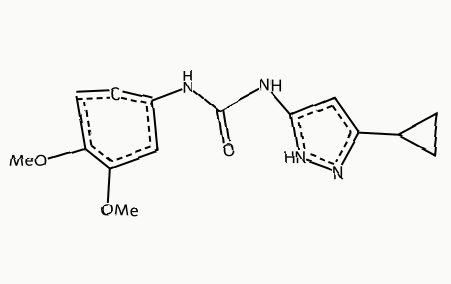 COc1ccc(NC(=O)Nc2cc(C3CC3)n[nH]2)cc1OC